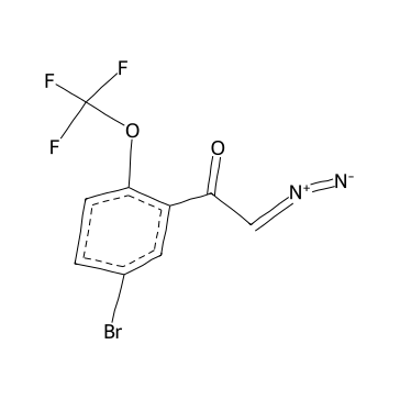 [N-]=[N+]=CC(=O)c1cc(Br)ccc1OC(F)(F)F